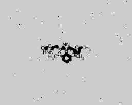 COc1cccc(OC)c1-n1c(SCc2n[nH]c(=O)o2)nnc1-c1ccc(C)o1